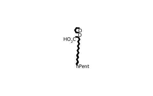 CCCCCC=CCC=CCCCCCCCC(CC(=O)O)OC1CCCCO1